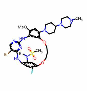 CCN(c1cc2c(F)cc1Nc1nc(ncc1Br)Nc1cc(c(N3CCC(N4CCN(C)CC4)CC3)cc1OC)OCCCO2)S(C)(=O)=O